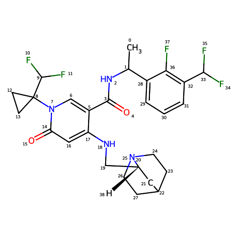 CC(NC(=O)c1cn(C2(C(F)F)CC2)c(=O)cc1NC[C@H]1CC2CCN1CC2)c1cccc(C(F)F)c1F